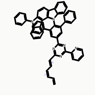 C=C/C=C\C=C\c1nc(-c2cc(-c3ccccc3)c(-n3c4ccccc4c4ccc5c(c6ccccc6n5-c5ccccc5)c43)c(-c3ccccc3)c2)nc(-c2ccccn2)n1